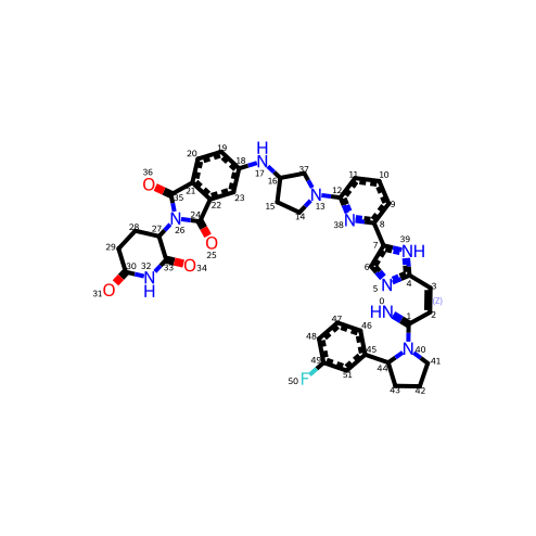 N=C(/C=C\c1ncc(-c2cccc(N3CCC(Nc4ccc5c(c4)C(=O)N(C4CCC(=O)NC4=O)C5=O)C3)n2)[nH]1)N1CCCC1c1cccc(F)c1